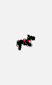 CCO[C@@H]1Cc2ccccc2[C@@H]1NC(=O)[C@H]1C[C@@H](C(=O)N(c2ccc3c(c2)N(CCCOC)C(=O)C(C)(C)O3)C2CC2)CN(C(=O)OC(C)(C)C)C1